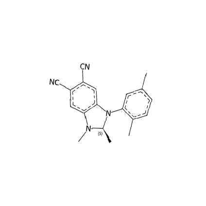 Cc1ccc(C)c(N2c3cc(C#N)c(C#N)cc3N(C)[C@@H]2C)c1